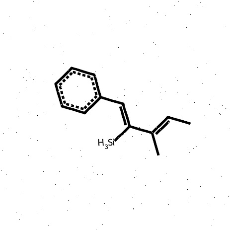 CC=C(C)C([SiH3])=Cc1ccccc1